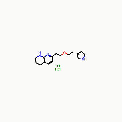 Cl.Cl.c1cc2c(nc1CCOCC[C@@H]1CCNC1)NCCC2